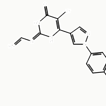 CC(C)c1c(-c2cnn(-c3ccc(F)cc3)c2)[nH]/c(=N/C=N)[nH]c1=O